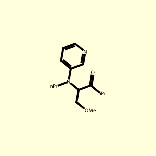 [CH2]CCN(c1cccnc1)C(COC)C(=O)C(C)C